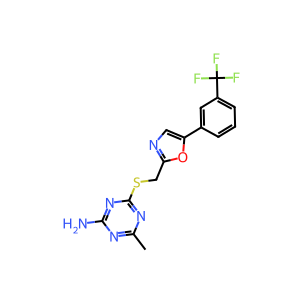 Cc1nc(N)nc(SCc2ncc(-c3cccc(C(F)(F)F)c3)o2)n1